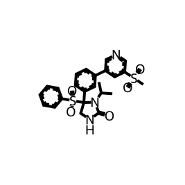 CC(C)N1C(=O)NCC1(c1cccc(-c2cncc(S(C)(=O)=O)c2)c1)S(=O)(=O)c1ccccc1